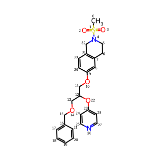 CS(=O)(=O)N1CCc2cc(OCC(COCc3ccccc3)Oc3ccncc3)ccc2C1